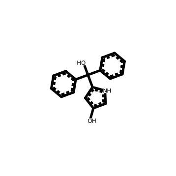 Oc1c[nH]c(C(O)(c2ccccc2)c2ccccc2)c1